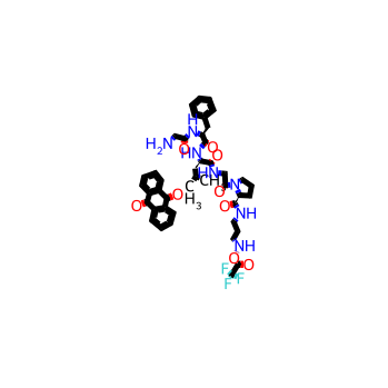 CC(C)C[C@H](NC(=O)[C@H](Cc1ccccc1)NC(=O)CN)C(=O)NCC(=O)N1CCC[C@@H]1C(=O)NCCCNOC(=O)C(F)(F)F.O=C1c2ccccc2C(=O)c2ccccc21